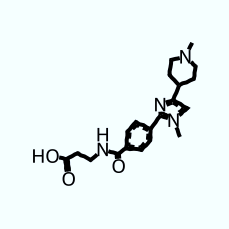 CN1CCC(c2cn(C)c(-c3ccc(C(=O)NCCC(=O)O)cc3)n2)CC1